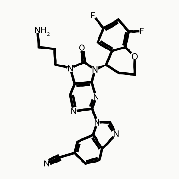 N#Cc1ccc2ncn(-c3ncc4c(n3)n([C@@H]3CCOc5c(F)cc(F)cc53)c(=O)n4CCCN)c2c1